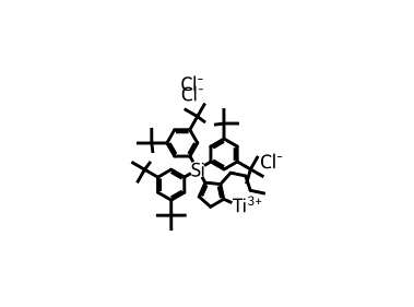 CCCCC1=[C]([Ti+3])CC=C1[Si](c1cc(C(C)(C)C)cc(C(C)(C)C)c1)(c1cc(C(C)(C)C)cc(C(C)(C)C)c1)c1cc(C(C)(C)C)cc(C(C)(C)C)c1.[Cl-].[Cl-].[Cl-]